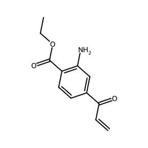 C=CC(=O)c1ccc(C(=O)OCC)c(N)c1